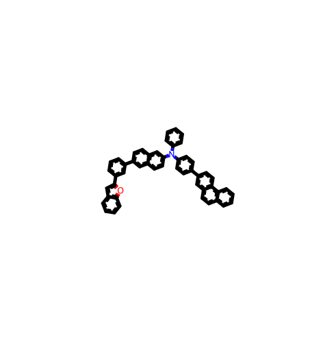 c1ccc(N(c2ccc(-c3ccc4c(ccc5ccccc54)c3)cc2)c2ccc3cc(-c4cccc(-c5cc6ccccc6o5)c4)ccc3c2)cc1